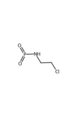 O=P(=O)NCCCl